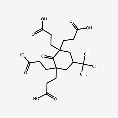 CC(C)(C)C1CC(CCC(=O)O)(CCC(=O)O)C(=O)C(CCC(=O)O)(CCC(=O)O)C1